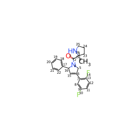 C[C@@]1(C(=O)N2CC(c3cc(F)ccc3F)=CC2c2ccccc2)CCCN1